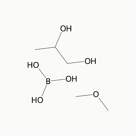 CC(O)CO.COC.OB(O)O